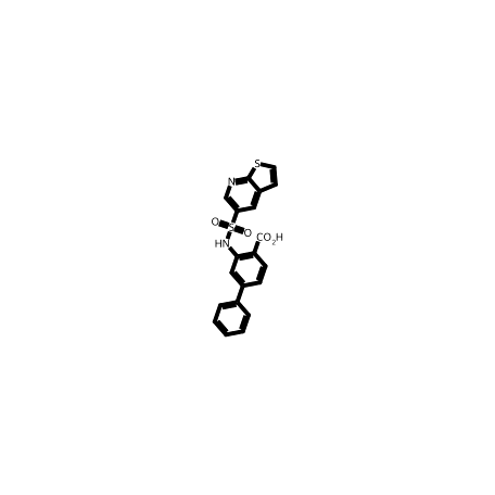 O=C(O)c1ccc(-c2ccccc2)cc1NS(=O)(=O)c1cnc2sccc2c1